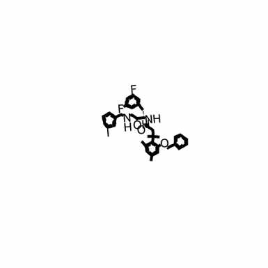 Cc1cc(C)c(C(C)(C)CC(=O)N[C@@H](Cc2cc(F)cc(F)c2)[C@@H](O)CNCc2cccc(I)c2)c(OCc2ccccc2)c1